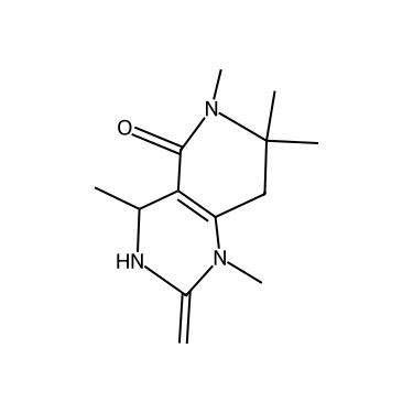 C=C1NC(C)C2=C(CC(C)(C)N(C)C2=O)N1C